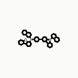 c1ccc2cc(N(c3ccc(-c4ccc5c(c4)c4ccccc4n5-c4cccc5ccccc45)cc3)c3cccc4c3oc3ccccc34)ccc2c1